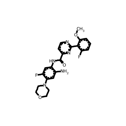 COc1cccc(F)c1-c1nccc(C(=O)Nc2cc(F)c(N3CCOCC3)cc2N)n1